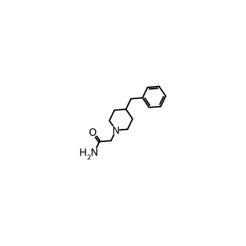 NC(=O)CN1CCC(Cc2ccccc2)CC1